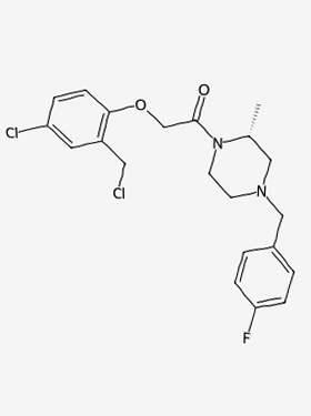 C[C@@H]1CN(Cc2ccc(F)cc2)CCN1C(=O)COc1ccc(Cl)cc1CCl